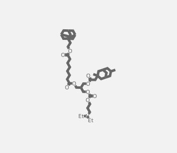 CCN(CC)CCCOC(=O)OCC(COC(=O)CCCCCCC(=O)OCCC12CC3CC(CC(C3)C1)C2)COC(=O)CC1(C)CC2CC(C)CC(C2)C1